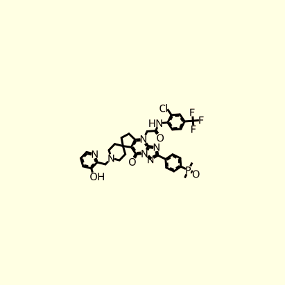 CP(C)(=O)c1ccc(-c2nc3n(CC(=O)Nc4ccc(C(F)(F)F)cc4Cl)c4c(c(=O)n3n2)C2(CC4)CCN(Cc3ncccc3O)CC2)cc1